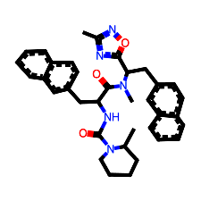 Cc1noc(C(Cc2ccc3ccccc3c2)N(C)C(=O)C(Cc2ccc3ccccc3c2)NC(=O)N2CCCCC2C)n1